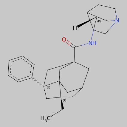 CC[C@]12CC3CC4(C(=O)N[C@H]5CN6CCC5CC6)CC1(C3)[C@](c1ccccc1)(C4)C2